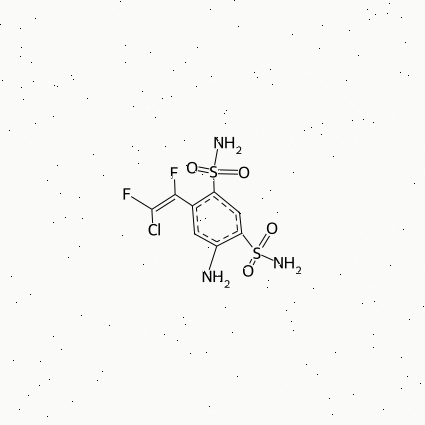 Nc1cc(C(F)=C(F)Cl)c(S(N)(=O)=O)cc1S(N)(=O)=O